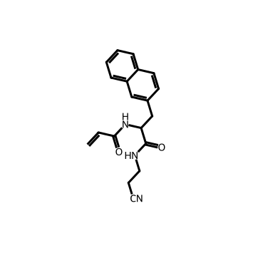 C=CC(=O)NC(Cc1ccc2ccccc2c1)C(=O)NCCC#N